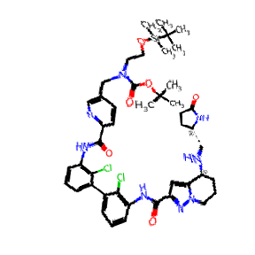 CC(C)(C)OC(=O)N(CCO[Si](C)(C)C(C)(C)C)Cc1ccc(C(=O)Nc2cccc(-c3cccc(NC(=O)c4cc5n(n4)CCC[C@@H]5NC[C@@H]4CCC(=O)N4)c3Cl)c2Cl)nc1